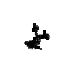 CC(=O)NCSCCC(=O)N[C@@H](CCCNC(=N)N[N+](=O)[O-])C(=O)N[C@@H](CC(C)C)B1O[C@@H]2C[C@@H]3C[C@@H](C3(C)C)[C@]2(C)O1